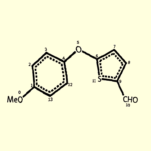 COc1ccc(Oc2ccc(C=O)s2)cc1